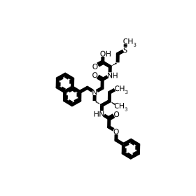 CC[C@H](C)[C@@H](CN(CC(=O)N[C@@H](CCSC)C(=O)O)Cc1cccc2ccccc12)NC(=O)COCc1ccccc1